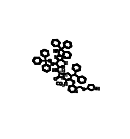 O=C(O)C1=C(Sc2cccnc2CSC2CCNC2)C(C(c2ccccc2)c2ccccc2)C[C@@H]2[C@H](NC(=O)C(=NOC(c3ccccc3)(c3ccccc3)c3ccccc3)c3nc(NC(c4ccccc4)(c4ccccc4)c4ccccc4)sc3Cl)C(=O)N12